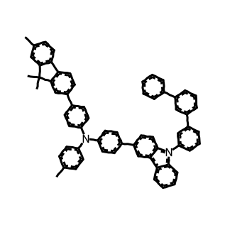 Cc1ccc(N(c2ccc(-c3ccc4c(c3)C(C)(C)c3cc(C)ccc3-4)cc2)c2ccc(-c3ccc4c(c3)c3ccccc3n4-c3cccc(-c4cccc(-c5ccccc5)c4)c3)cc2)cc1